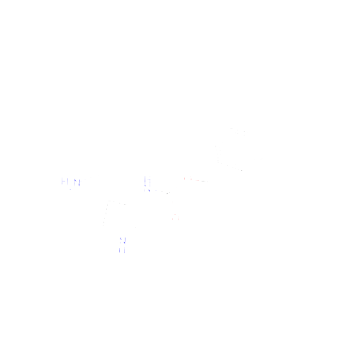 NCC1CNCC1NC(=O)OCc1ccccc1